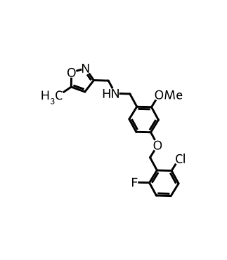 COc1cc(OCc2c(F)cccc2Cl)ccc1CNCc1cc(C)on1